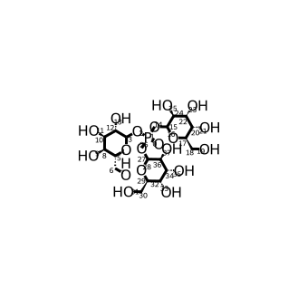 O=P(OC1O[C@H](CO)[C@@H](O)[C@@H](O)[C@@H]1O)(OC1O[C@H](CO)[C@@H](O)[C@@H](O)[C@@H]1O)OC1O[C@H](CO)[C@@H](O)[C@@H](O)[C@@H]1O